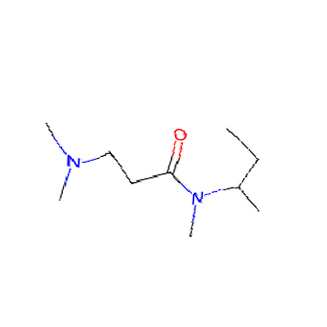 CCC(C)N(C)C(=O)CCN(C)C